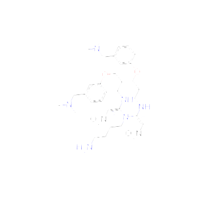 CN(C)Cc1cccc(OCCCN/C(=C/[N+](=O)[O-])N(CCCCN)/C(=C\[N+](=O)[O-])NCCCOc2cccc(CN(C)C)c2)c1